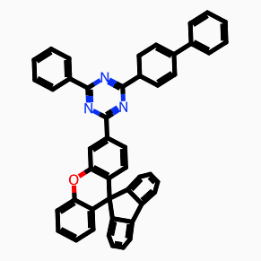 C1=CC(c2nc(-c3ccccc3)nc(-c3ccc4c(c3)Oc3ccccc3C43c4ccccc4-c4ccccc43)n2)CC=C1c1ccccc1